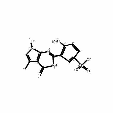 CCCn1cc(C)c2c(=O)[nH]c(-c3cc(S(=O)(=O)Cl)ccc3OC)nc21